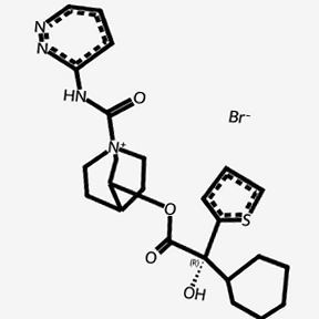 O=C(OC1C[N+]2(C(=O)Nc3cccnn3)CCC1CC2)[C@@](O)(c1cccs1)C1CCCCC1.[Br-]